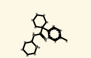 Cc1ccc(C2(C(=O)OC3CCCCO3)CCCCC2)cc1